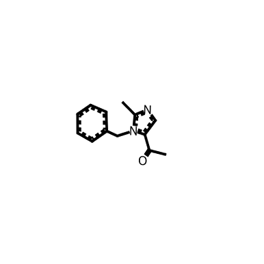 CC(=O)c1cnc(C)n1Cc1ccccc1